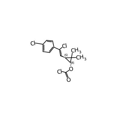 CC1(C)[C@H](C=C(Cl)c2ccc(Cl)cc2)[C@H]1OC(=O)Cl